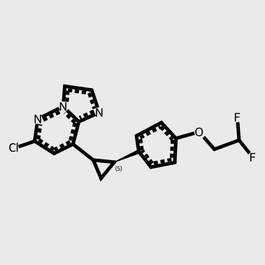 FC(F)COc1ccc([C@H]2CC2c2cc(Cl)nn3ccnc23)cc1